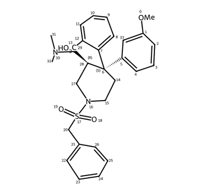 COc1cccc([C@]2(c3ccccc3C(=O)O)CCN(S(=O)(=O)Cc3ccccc3)C[C@H]2CN(C)C)c1